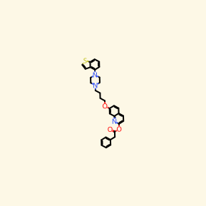 O=C(Cc1ccccc1)Oc1ccc2ccc(OCCCCN3CCN(c4cccc5sccc45)CC3)cc2n1